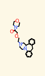 O=C(COCCN1CCN2c3ccccc3Cc3ccccc3C2C1)N1CCOCC1